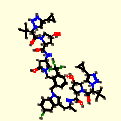 CC(Cc1cn(Cc2cccc(C(F)(F)F)c2CN2CC(NC(=O)[C@@H]3C[C@@H](O)CN3C(=O)[C@@H](n3cc(C4CC4)nn3)C(C)(C)C)CC2=O)c2ccc(F)cc12)NC(=O)[C@@H]1C[C@@H](O)CN1C(=O)[C@@H](n1cc(C2CC2)nn1)C(C)(C)C